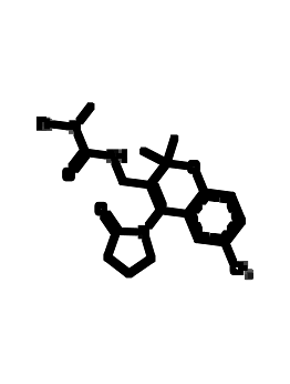 CCN(C)C(=O)NCC1=C(N2CCCC2=O)c2cc(C(F)(F)F)ccc2OC1(C)C